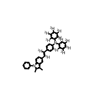 [2H]/C(=C(/[2H])c1ccc2c(c1)c(C)c(C)n2-c1ccccc1)c1ccc(N(c2c([2H])c([2H])c([2H])c([2H])c2[2H])c2c([2H])c([2H])c([2H])c([2H])c2[2H])cc1